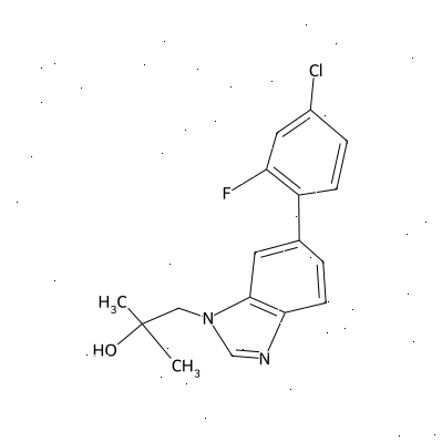 CC(C)(O)Cn1cnc2ccc(-c3ccc(Cl)cc3F)cc21